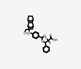 CCC1(Oc2ccc(C(=O)OC(c3ccccc3)C(F)(F)C(=O)O)cc2)CC2CC1C1C3CCC(C3)C21